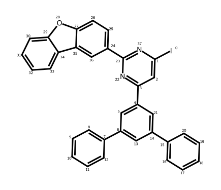 Ic1cc(-c2cc(-c3ccccc3)cc(-c3ccccc3)c2)nc(-c2ccc3oc4ccccc4c3c2)n1